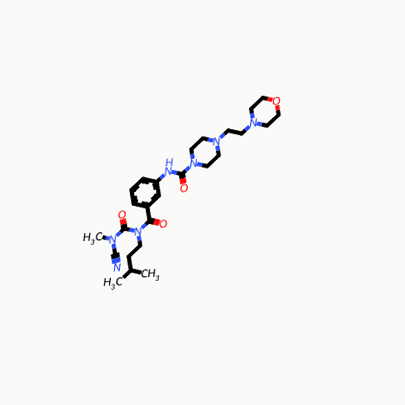 CC(C)CCN(C(=O)c1cccc(NC(=O)N2CCN(CCN3CCOCC3)CC2)c1)C(=O)N(C)C#N